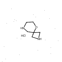 C1COC2(CN1)CNC2.Cl